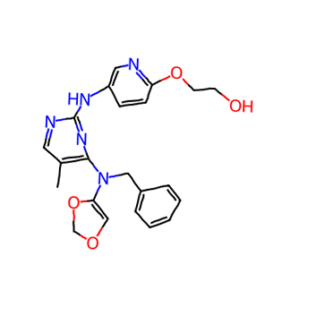 Cc1cnc(Nc2ccc(OCCO)nc2)nc1N(Cc1ccccc1)C1=COCO1